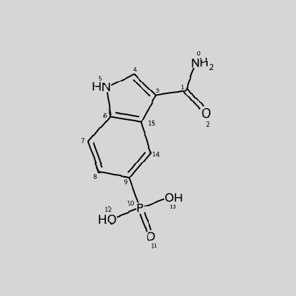 NC(=O)c1c[nH]c2ccc(P(=O)(O)O)cc12